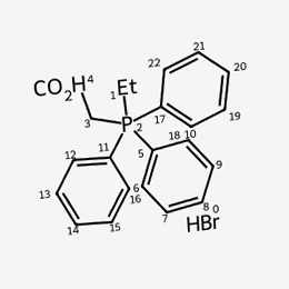 Br.CCP(CC(=O)O)(c1ccccc1)(c1ccccc1)c1ccccc1